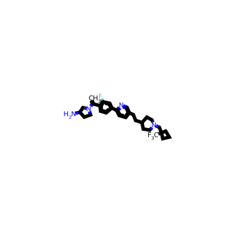 C=C(c1ccc(-c2ccc(CCC3CCN(CC4(C(F)(F)F)CCC4)CC3)cn2)cc1F)N1CCC(N)C1